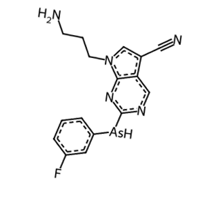 N#Cc1cn(CCCN)c2nc([AsH]c3cccc(F)c3)ncc12